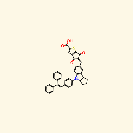 O=C(O)c1cc2c(s1)C(=O)/C(=C/c1ccc3c(c1)C1CCCC1N3c1ccc(C=C(c3ccccc3)c3ccccc3)cc1)C2=O